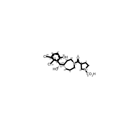 O=C(O)N1CCC(C(=O)N2CCC[C@H]([C@H](O)c3c(O)ccc(Cl)c3Cl)CC2)C1